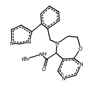 CC(C)(C)NC(=O)C1c2cncnc2OCCN1Cc1ccccc1-c1ccncn1